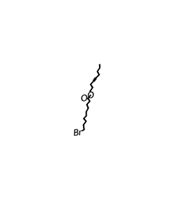 CCCCC#CCCCOC(=O)CCCCCCCCCBr